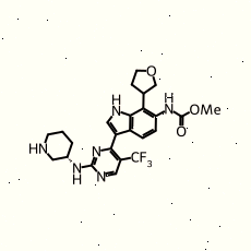 COC(=O)Nc1ccc2c(-c3nc(N[C@H]4CCCNC4)ncc3C(F)(F)F)c[nH]c2c1C1CCOC1